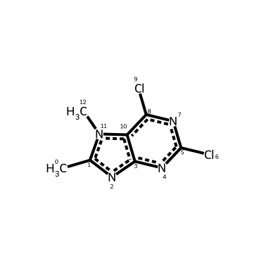 Cc1nc2nc(Cl)nc(Cl)c2n1C